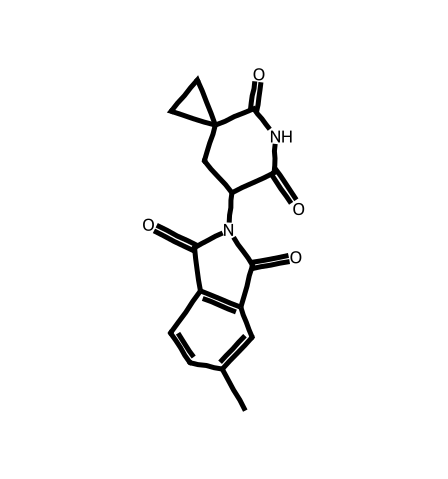 Cc1ccc2c(c1)C(=O)N(C1CC3(CC3)C(=O)NC1=O)C2=O